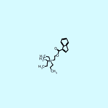 CCC[N+](CC)(CCOC(=O)C1=CCc2ccccc21)C(C)CC